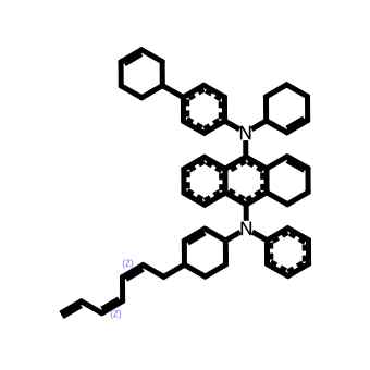 C=C/C=C\C=C/CC1C=CC(N(c2ccccc2)c2c3c(c(N(c4ccc(C5CC=CCC5)cc4)C4C=CCCC4)c4ccccc24)C=CCC3)CC1